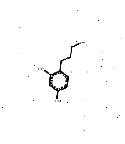 CCCCc1c[c]c(O)cc1O